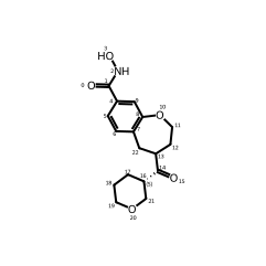 O=C(NO)c1ccc2c(c1)OCCC(C(=O)[C@H]1CCCOC1)C2